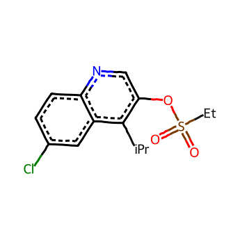 CCS(=O)(=O)Oc1cnc2ccc(Cl)cc2c1C(C)C